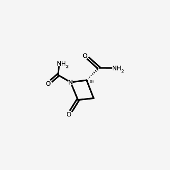 NC(=O)[C@@H]1CC(=O)N1C(N)=O